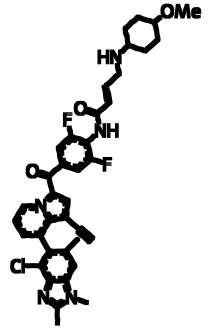 C#Cc1cc(C(=O)c2cc(F)c(NC(=O)/C=C/CNC3CCC(OC)CC3)c(F)c2)n2cccc(-c3c(C)cc4c(nc(C)n4C)c3Cl)c12